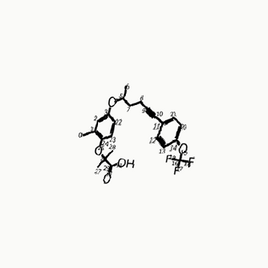 Cc1cc(OC(C)CCC#Cc2ccc(OC(F)(F)F)cc2)ccc1OC(C)(C)C(=O)O